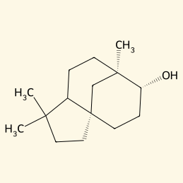 CC1(C)CC[C@]23CC[C@@H](O)[C@](C)(CCC12)C3